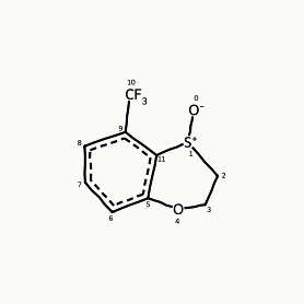 [O-][S+]1CCOc2cccc(C(F)(F)F)c21